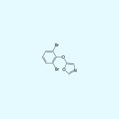 Brc1cccc(Br)c1Oc1cn[c]o1